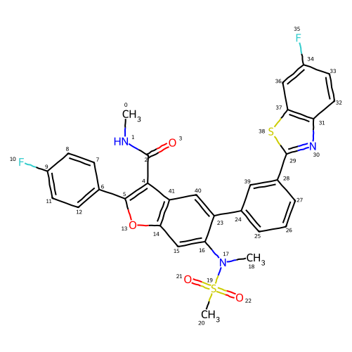 CNC(=O)c1c(-c2ccc(F)cc2)oc2cc(N(C)S(C)(=O)=O)c(-c3cccc(-c4nc5ccc(F)cc5s4)c3)cc12